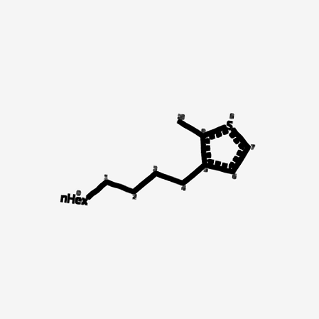 CCCCCCCCCCc1ccsc1C